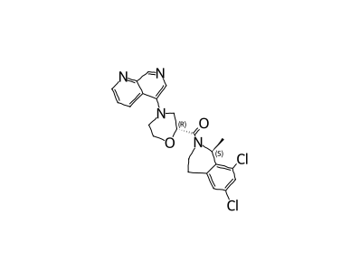 C[C@H]1c2c(Cl)cc(Cl)cc2CCN1C(=O)[C@H]1CN(c2cncc3ncccc23)CCO1